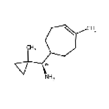 CC1=CCCC([C@@H](N)C2(C)CC2)CC1